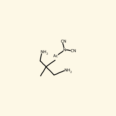 CC(=O)N(C#N)C#N.CC(C)(CN)CN